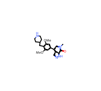 COc1cc(-c2cn(C)c(=O)c3[nH]ncc23)cc(OC)c1CC1CCNCC1